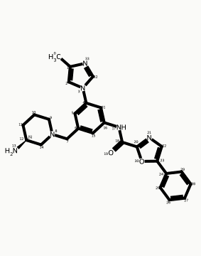 Cc1cn(-c2cc(CN3CCC[C@H](N)C3)cc(NC(=O)c3ncc(-c4ccccc4)o3)c2)cn1